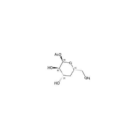 CC(=O)O[C@H]1O[C@H](CO)C[C@H](O)[C@H]1O